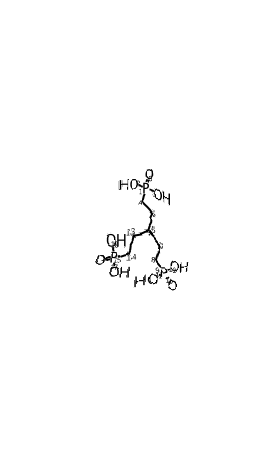 O=P(O)(O)CC[C](CCP(=O)(O)O)CCP(=O)(O)O